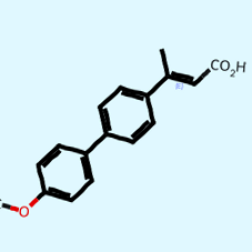 C/C(=C\C(=O)O)c1ccc(-c2ccc(OC(F)(F)F)cc2)cc1